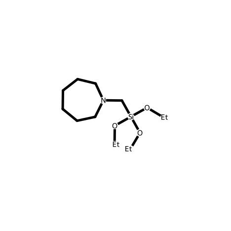 CCO[Si](CN1CCCCCC1)(OCC)OCC